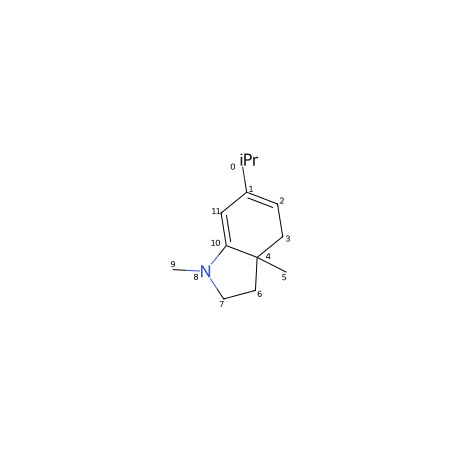 CC(C)C1=CCC2(C)CCN(C)C2=C1